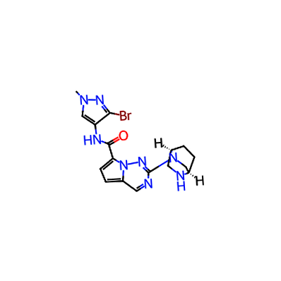 Cn1cc(NC(=O)c2ccc3cnc(N4C[C@H]5CC[C@@H]4CN5)nn23)c(Br)n1